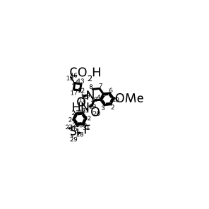 COc1ccc2c(c1)CCN(C(=O)[C@H]1C[C@H](CC(=O)O)C1)C2C(=O)Nc1ccc([Si](C)(C)C)c(F)c1